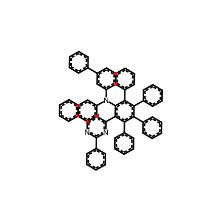 c1ccc(-c2cccc(N(c3ccccc3)c3c(-c4ccccc4)c(-c4ccccc4)c(-c4ccccc4)c(-c4ccccc4)c3-c3nc(-c4ccccc4)nc(-c4ccccc4)n3)c2)cc1